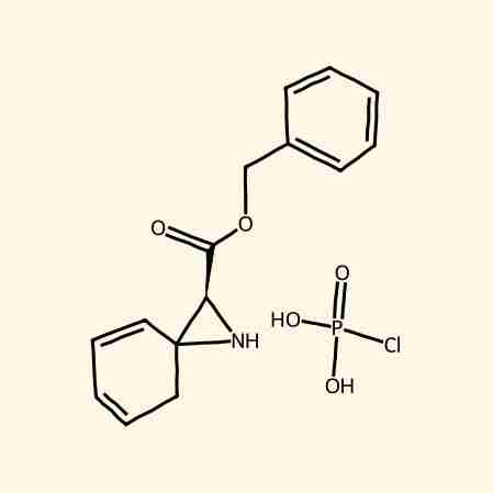 O=C(OCc1ccccc1)[C@H]1NC12C=CC=CC2.O=P(O)(O)Cl